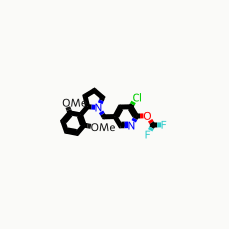 COc1cccc(OC)c1C1CCCN1Cc1cnc(OC(F)F)c(Cl)c1